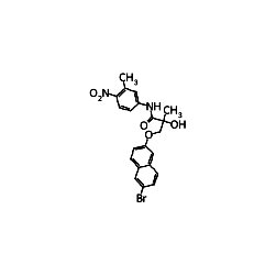 Cc1cc(NC(=O)C(C)(O)COc2ccc3cc(Br)ccc3c2)ccc1[N+](=O)[O-]